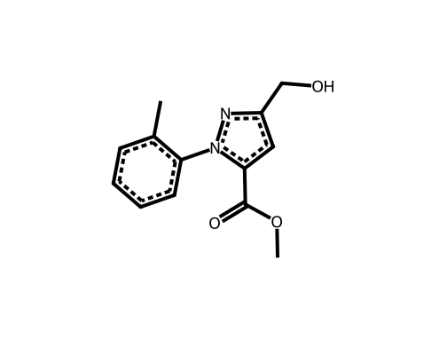 COC(=O)c1cc(CO)nn1-c1ccccc1C